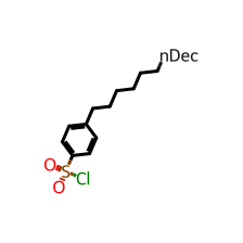 CCCCCCCCCCCCCCCCc1ccc(S(=O)(=O)Cl)cc1